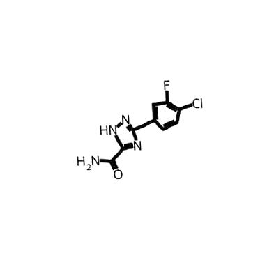 NC(=O)c1nc(-c2ccc(Cl)c(F)c2)n[nH]1